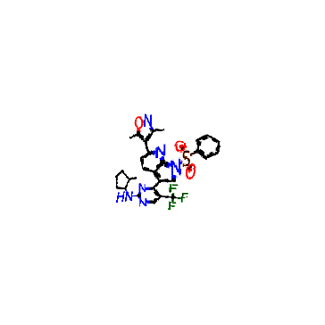 Cc1noc(C)c1-c1ccc2c(-c3nc(N[C@H]4CCCC4C)ncc3C(F)(F)F)cn(S(=O)(=O)c3ccccc3)c2n1